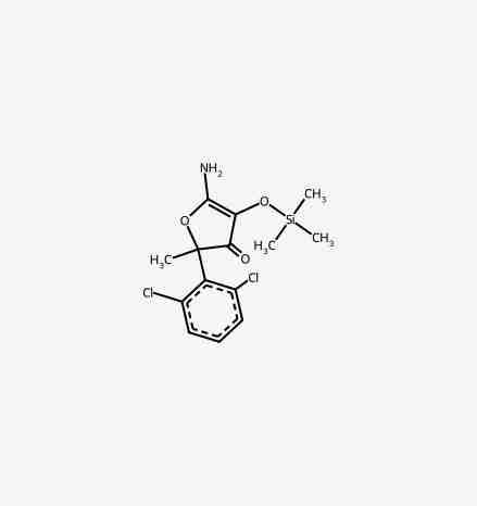 CC1(c2c(Cl)cccc2Cl)OC(N)=C(O[Si](C)(C)C)C1=O